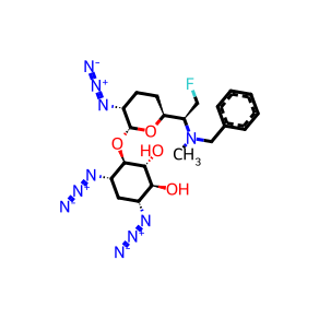 CN(Cc1ccccc1)[C@H](CF)[C@@H]1CC[C@@H](N=[N+]=[N-])[C@@H](O[C@H]2[C@H](O)[C@@H](O)[C@H](N=[N+]=[N-])C[C@@H]2N=[N+]=[N-])O1